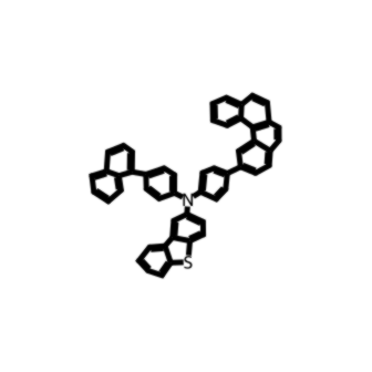 c1ccc2c(-c3ccc(N(c4ccc(-c5ccc6ccc7ccc8ccccc8c7c6c5)cc4)c4ccc5sc6ccccc6c5c4)cc3)cccc2c1